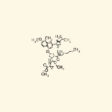 C=CCCCCN(C)C(=O)C1C[C@H](Oc2cc(-c3nc(C(C)C)cs3)nc3c(C)c(OC)ccc23)CC1C(=O)N[C@]1(C(=O)OCC)C[C@H]1C=C